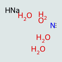 O.O.O.O.[N].[NaH]